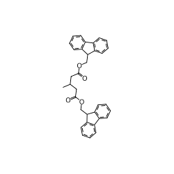 CC(CC(=O)OCC1c2ccccc2-c2ccccc21)CC(=O)OCC1c2ccccc2-c2ccccc21